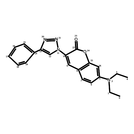 CCN(CC)c1ccc2cc(-n3cc(-c4ccccc4)nn3)c(=O)oc2c1